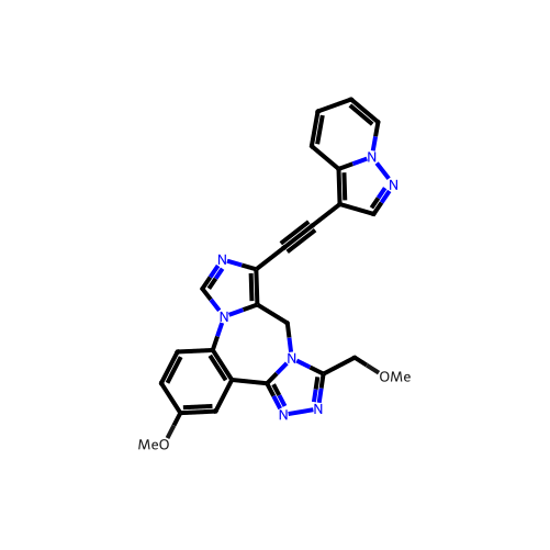 COCc1nnc2n1Cc1c(C#Cc3cnn4ccccc34)ncn1-c1ccc(OC)cc1-2